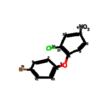 O=[N+]([O-])c1ccc(Oc2ccc(Br)cc2)c(Cl)c1